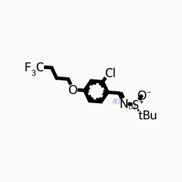 CC(C)(C)[S@@+]([O-])/N=C/c1ccc(OCCCC(F)(F)F)cc1Cl